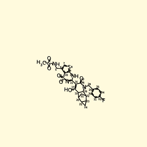 CS(=O)(=O)NCc1csc2c1S(=O)(=O)N=C(C1=C(O)C3C4CC(C5CC54)C3N(Cc3ccc(F)cc3)C1=O)N2